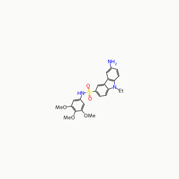 CCn1c2ccc(N)cc2c2cc(S(=O)(=O)Nc3cc(OC)c(OC)c(OC)c3)ccc21